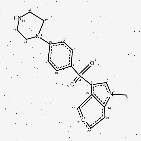 Cn1cc(S(=O)(=O)c2ccc(N3CCNCC3)cc2)c2ccccc21